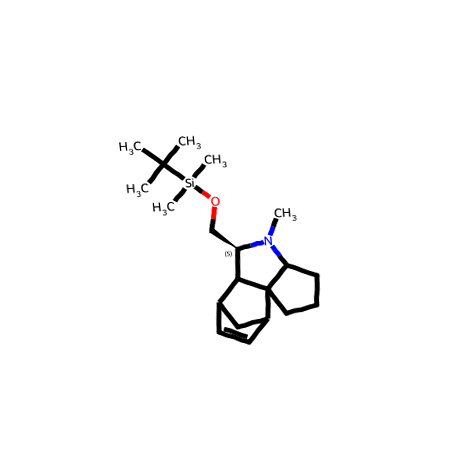 CN1C2CCCC23C2C=CC(C2)C3[C@H]1CO[Si](C)(C)C(C)(C)C